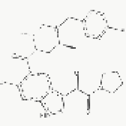 C[C@@H]1CN(Cc2ccc(F)cc2)[C@@H](C)CN1C(=O)c1cc2c(C(=O)C(=O)N3CCCC3)c[nH]c2cc1Cl